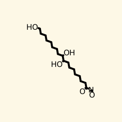 O=NC(=O)CCCCCCCC(O)C(O)CCCCCCCCO